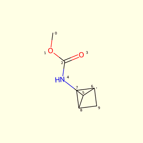 COC(=O)NC1[C]2CC1C2